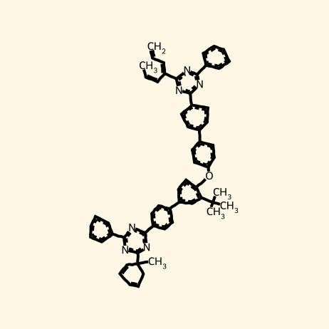 C=C/C=C(\C=C/C)c1nc(-c2ccccc2)nc(-c2ccc(-c3ccc(Oc4ccc(-c5ccc(-c6nc(-c7ccccc7)nc(C7(C)C=CC=CC7)n6)cc5)cc4C(C)(C)C)cc3)cc2)n1